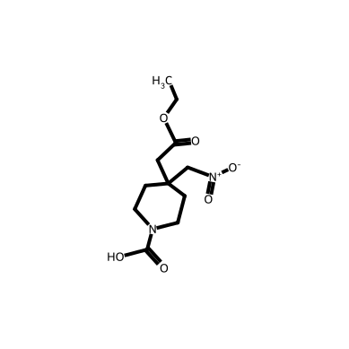 CCOC(=O)CC1(C[N+](=O)[O-])CCN(C(=O)O)CC1